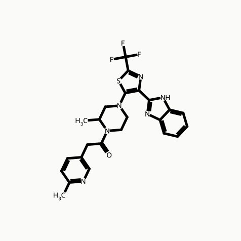 Cc1ccc(CC(=O)N2CCN(c3sc(C(F)(F)F)nc3-c3nc4ccccc4[nH]3)CC2C)cn1